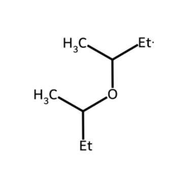 C[CH]C(C)OC(C)CC